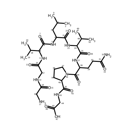 CC(C)CC(NC(=O)C(NC(=O)CNC(=O)CN)C(C)C)C(=O)NC(C(=O)NC(CCC(N)=O)C(=O)N1CCCC1C(=O)NCC(=O)O)C(C)C